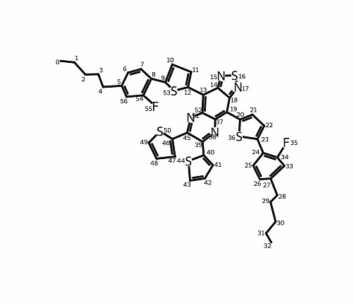 CCCCCc1ccc(-c2ccc(-c3c4nsnc4c(-c4ccc(-c5ccc(CCCCC)cc5F)s4)c4nc(-c5cccs5)c(-c5cccs5)nc34)s2)c(F)c1